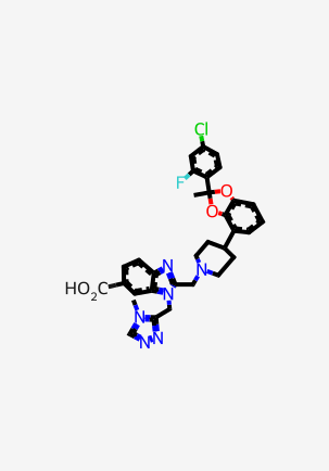 Cn1cnnc1Cn1c(CN2CCC(c3cccc4c3OC(C)(c3ccc(Cl)cc3F)O4)CC2)nc2ccc(C(=O)O)cc21